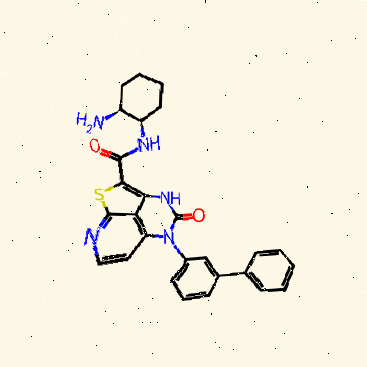 N[C@H]1CCCC[C@H]1NC(=O)c1sc2nccc3c2c1NC(=O)N3c1cccc(-c2ccccc2)c1